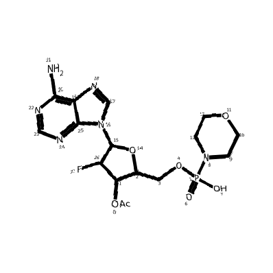 CC(=O)OC1C(COP(=O)(O)N2CCOCC2)OC(n2cnc3c(N)ncnc32)C1F